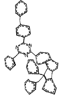 c1ccc(-c2ccc(-c3nc(-c4ccccc4)nc(-c4ccc5ccc6c(c5c4)C(c4ccccc4)(c4ccccc4)c4ccccc4-6)n3)cc2)cc1